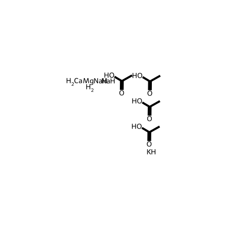 CC(=O)O.CC(=O)O.CC(=O)O.CC(=O)O.[CaH2].[KH].[MgH2].[NaH].[NaH]